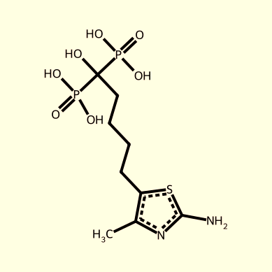 Cc1nc(N)sc1CCCCC(O)(P(=O)(O)O)P(=O)(O)O